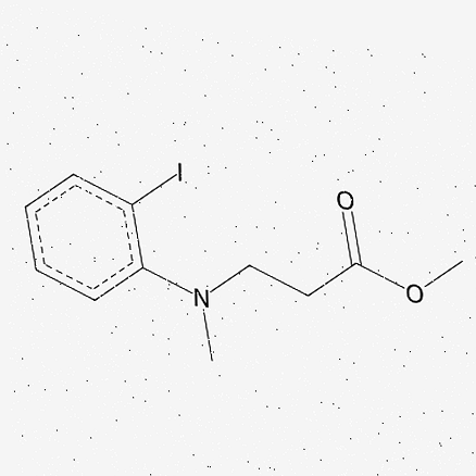 COC(=O)CCN(C)c1ccccc1I